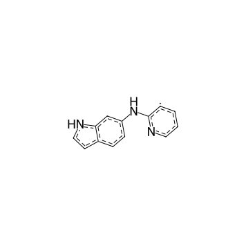 [c]1cccnc1Nc1ccc2cc[nH]c2c1